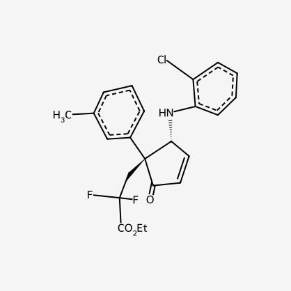 CCOC(=O)C(F)(F)C[C@]1(c2cccc(C)c2)C(=O)C=C[C@H]1Nc1ccccc1Cl